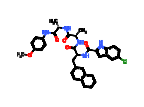 C[C@H](NC(=O)[C@H](C)NC(=O)[C@H](Cc1ccc2ccccc2c1)NC(=O)c1cc2cc(Cl)ccc2[nH]1)C(=O)Nc1ccc(OC(F)(F)F)cc1